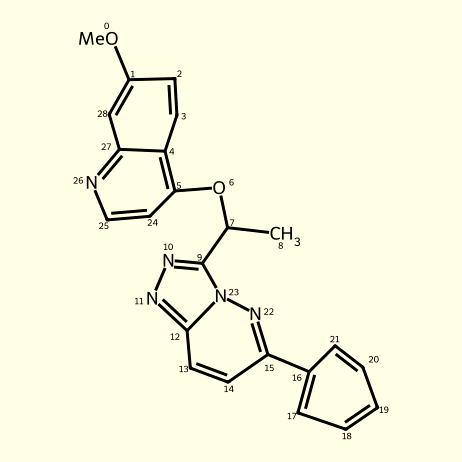 COc1ccc2c(OC(C)c3nnc4ccc(-c5ccccc5)nn34)ccnc2c1